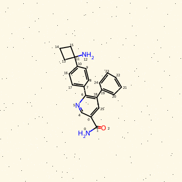 NC(=O)c1cnc(-c2ccc(C3(N)CCC3)cc2)c(-c2ccccc2)c1